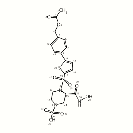 CC(=O)OCc1ccc(-c2ccc(S(=O)(=O)N3CCN(S(C)(=O)=O)C[C@@H]3C(=O)NO)s2)cc1